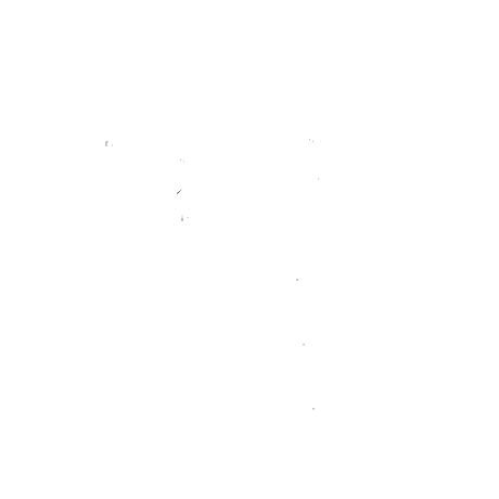 Cc1cc(C2CCN(C3CCNCC3)[C@H](CC(C)C)C2)cc2[nH]c(-c3ccccc3OC(F)(F)F)nc12.O=C(O)C(F)(F)F.O=C(O)C(F)(F)F.O=C(O)C(F)(F)F